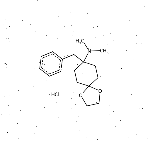 CN(C)C1(Cc2ccccc2)CCC2(CC1)OCCO2.Cl